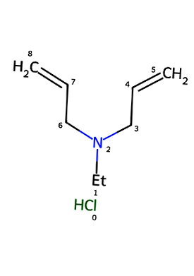 Cl.[CH2]CN(CC=C)CC=C